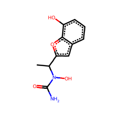 CC(c1cc2cccc(O)c2o1)N(O)C(N)=O